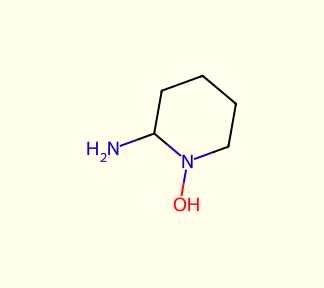 NC1CCCCN1O